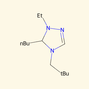 CCCCC1N(CC(C)(C)C)C=NN1CC